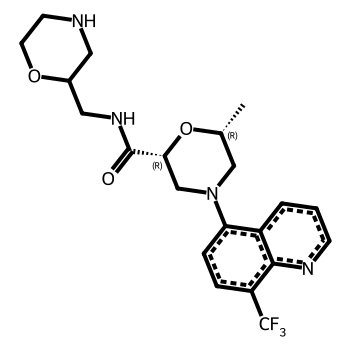 C[C@@H]1CN(c2ccc(C(F)(F)F)c3ncccc23)C[C@H](C(=O)NCC2CNCCO2)O1